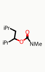 CNC(=O)OC(CC(C)C)C(C)C